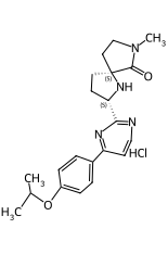 CC(C)Oc1ccc(-c2ccnc([C@@H]3CC[C@@]4(CCN(C)C4=O)N3)n2)cc1.Cl